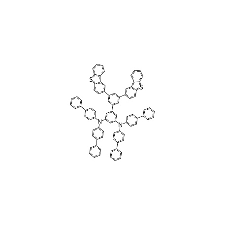 c1ccc(-c2ccc(N(c3ccc(-c4ccccc4)cc3)c3cc(-c4cc(-c5ccc6sc7ccccc7c6c5)cc(-c5ccc6sc7ccccc7c6c5)c4)cc(N(c4ccc(-c5ccccc5)cc4)c4ccc(-c5ccccc5)cc4)c3)cc2)cc1